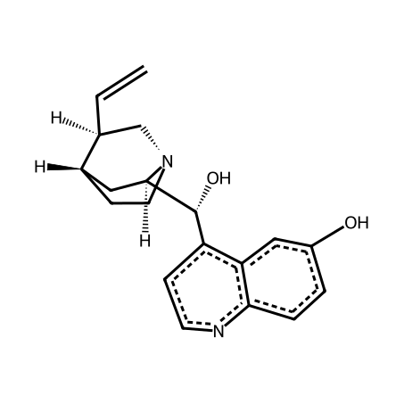 C=C[C@H]1C[N@]2CC[C@H]1C[C@@H]2[C@H](O)c1ccnc2ccc(O)cc12